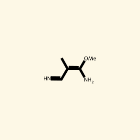 CO/C(N)=C(\C)C=N